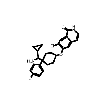 NC(C1CC1)C1(c2ccc(F)cc2)CCC(Oc2cc3cc[nH]c(=O)c3cc2Cl)CC1